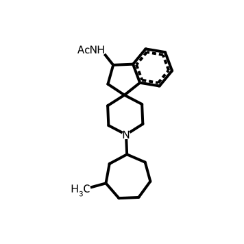 CC(=O)NC1CC2(CCN(C3CCCCC(C)C3)CC2)c2ccccc21